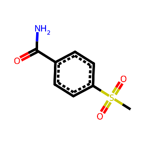 CS(=O)(=O)c1ccc(C(N)=O)cc1